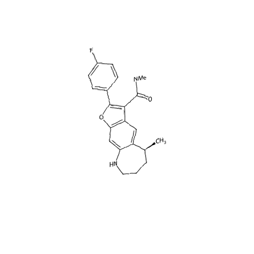 CNC(=O)c1c(-c2ccc(F)cc2)oc2cc3c(cc12)[C@@H](C)CCCN3